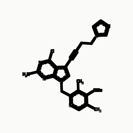 COc1c(C)cnc(Cn2cc(C#CCCn3ccnc3)c3c(Cl)nc(N)nc32)c1C